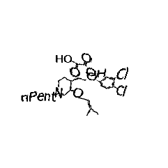 CCCCCN1CC[C@@H](CCOc2ccc(Cl)c(Cl)c2)[C@@H](OCC=C(C)C)C1.O=C(O)C(=O)O